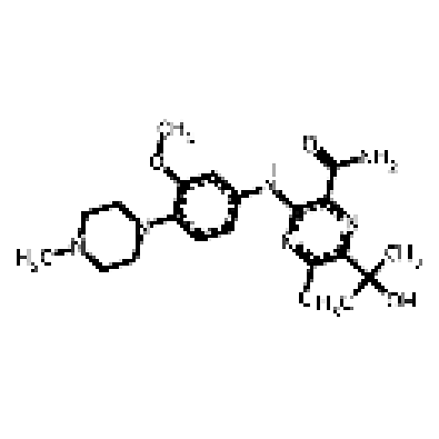 COc1cc(Nc2nc(Cl)c(C(C)(C)O)nc2C(N)=O)ccc1N1CCN(C)CC1